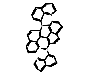 CN(c1ccc2ccccc2c1-c1c(N(C)c2cccc3cccnc23)ccc2ccccc12)c1cccc2cccnc12